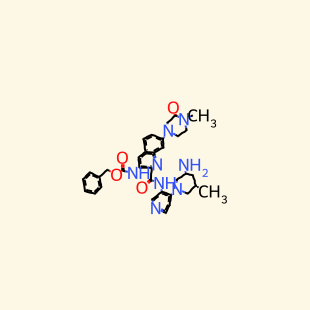 C[C@@H]1C[C@H](N)CN(c2ccncc2NC(=O)c2nc3cc(N4CCN(C)C(=O)C4)ccc3cc2NC(=O)OCc2ccccc2)C1